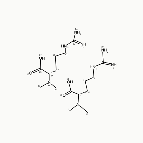 CN(C)[C@@H](CCCNC(=N)N)C(=O)O.CN(C)[C@@H](CCCNC(=N)N)C(=O)O